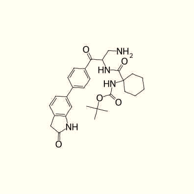 CC(C)(C)OC(=O)NC1(C(=O)NC(CN)C(=O)c2ccc(-c3ccc4c(c3)NC(=O)C4)cc2)CCCCC1